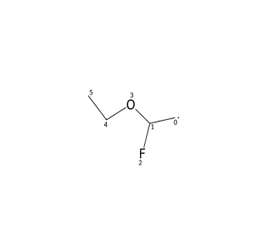 [CH2]C(F)OCC